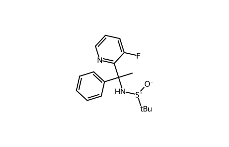 CC(N[S+]([O-])C(C)(C)C)(c1ccccc1)c1ncccc1F